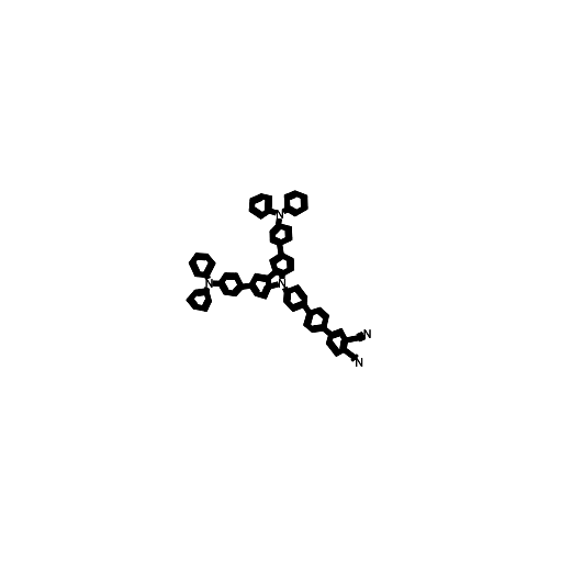 N#Cc1ccc(-c2ccc(-c3ccc(-n4c5ccc(-c6ccc(N(c7ccccc7)c7ccccc7)cc6)cc5c5cc(-c6ccc(N(c7ccccc7)c7ccccc7)cc6)ccc54)cc3)cc2)cc1C#N